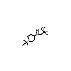 CC(C)(C)N1CCC(NCC(=O)OI)CC1